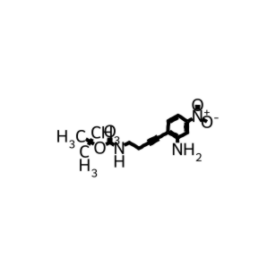 CC(C)(C)OC(=O)NCCC#Cc1ccc([N+](=O)[O-])cc1N